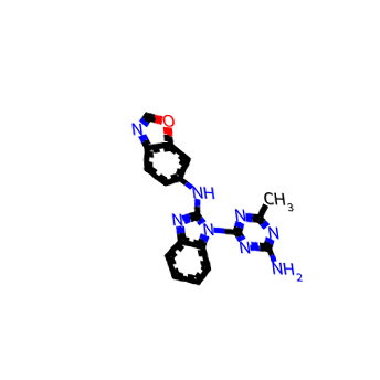 Cc1nc(N)nc(-n2c(Nc3ccc4ncoc4c3)nc3ccccc32)n1